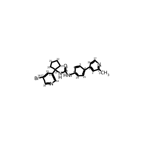 Cc1cc(-c2ccc(NC(=O)NC3(c4cncc(Br)c4)CCCC3)cc2)ccn1